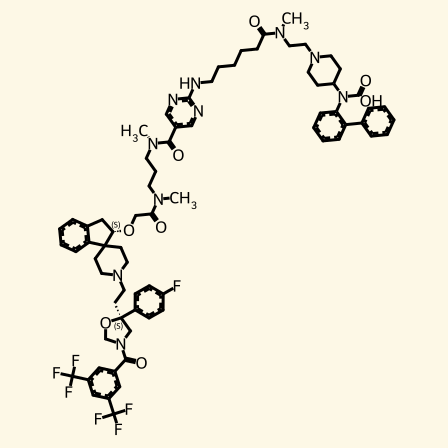 CN(CCN1CCC(N(C(=O)O)c2ccccc2-c2ccccc2)CC1)C(=O)CCCCCNc1ncc(C(=O)N(C)CCCN(C)C(=O)CO[C@H]2Cc3ccccc3C23CCN(CC[C@]2(c4ccc(F)cc4)CN(C(=O)c4cc(C(F)(F)F)cc(C(F)(F)F)c4)CO2)CC3)cn1